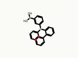 OB(O)c1cccc(N(c2ccccc2)c2ccccc2-c2ccccc2)c1